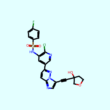 O=S(=O)(Nc1cc(-c2ccc3ncc(C#CC4(O)CCOC4)n3n2)cnc1Cl)c1ccc(F)cc1